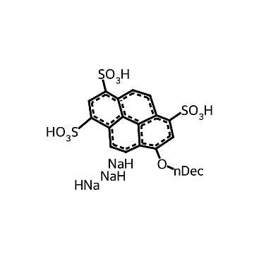 CCCCCCCCCCOc1cc(S(=O)(=O)O)c2ccc3c(S(=O)(=O)O)cc(S(=O)(=O)O)c4ccc1c2c43.[NaH].[NaH].[NaH]